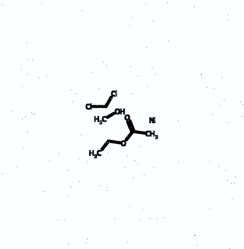 CCOC(C)=O.CO.ClCCl.[N]